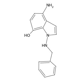 Nc1ccc(O)c2c1ccn2NCc1ccccc1